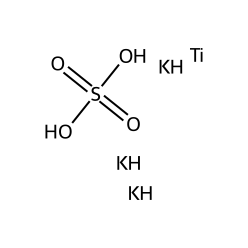 O=S(=O)(O)O.[KH].[KH].[KH].[Ti]